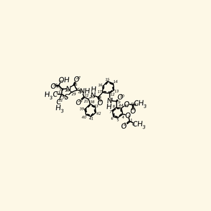 CC(=O)Oc1cccc(C(=O)Nc2ccccc2C(=O)N[C@@H](C(=O)N[C@@H]2C(=O)N3C2SC(C)(C)C3C(=O)O)c2ccccc2)c1OC(C)=O